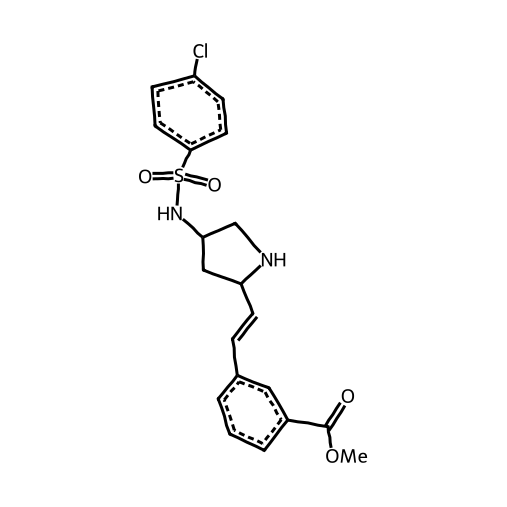 COC(=O)c1cccc(C=CC2CC(NS(=O)(=O)c3ccc(Cl)cc3)CN2)c1